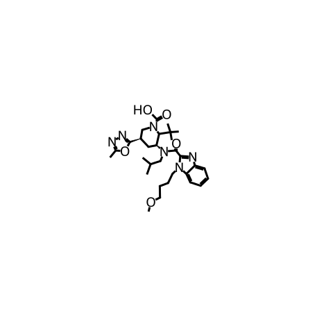 COCCCCn1c(C(=O)N(CC(C)C)[C@H]2C[C@@H](c3nnc(C)o3)CN(C(=O)O)C2C(C)(C)C)nc2ccccc21